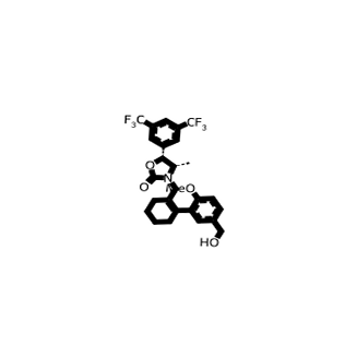 COc1ccc(CO)cc1C1=C(CN2C(=O)O[C@H](c3cc(C(F)(F)F)cc(C(F)(F)F)c3)[C@@H]2C)CCCC1